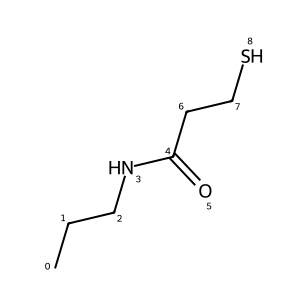 CCCNC(=O)CCS